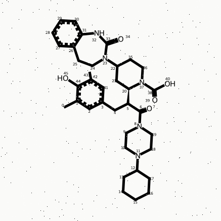 Cc1cc(CC(C(=O)N2CCN(C3CCCCC3)CC2)[C@H]2CC(N3CCc4ccccc4NC3=O)CCN2C(=O)O)cc(C)c1O